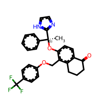 C[C@](Oc1ccc2c(c1COc1ccc(C(F)(F)F)cc1)CCCC2=O)(c1ccccc1)c1ncc[nH]1